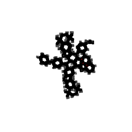 CCCCc1ccc(N2c3cc4c(oc5ccccc54)c4c3B(c3oc5cc6c(cc5c32)C(C)(C)CCC6(C)C)N(c2ccc(-c3ccccc3)cc2)c2cc3sc5cc6c(cc5c3cc2-4)C(C)(C)CCC6(C)C)c(-c2ccccc2)c1